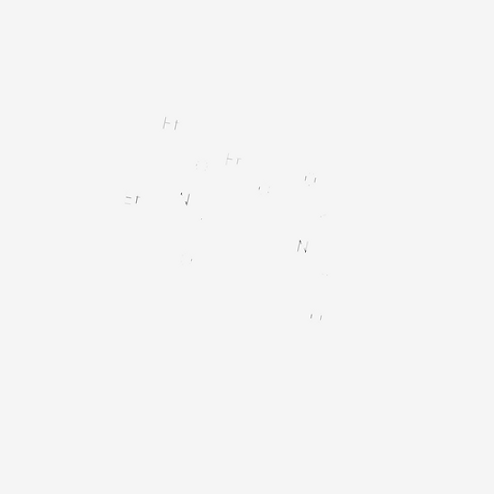 CCOC(CN1C(=O)C=C(C)C1=O)C(=O)N(CC)OCC